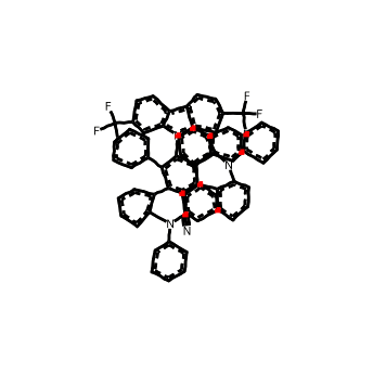 N#Cc1c(-c2ccccc2N(c2ccccc2)c2ccccc2)c(-c2ccccc2)c(-n2c3cc(C(F)(F)F)ccc3c3ccc(C(F)(F)F)cc32)c(-c2ccccc2)c1-c1ccccc1N(c1ccccc1)c1ccccc1